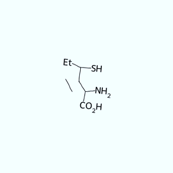 CC.CCC(S)CC(N)C(=O)O